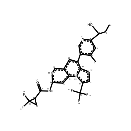 CCC(O)c1cc(C)c(-c2cc3cnc(NC(=O)C4CC4(F)F)cc3n3c(C(F)(F)F)cnc23)cn1